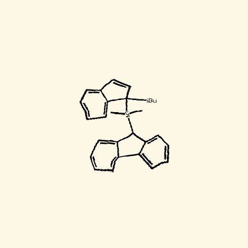 CCC(C)C1([Si](C)(C)C2c3ccccc3-c3ccccc32)C=Cc2ccccc21